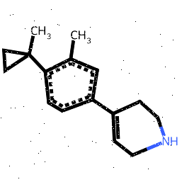 Cc1cc(C2=CCNCC2)ccc1C1(C)CC1